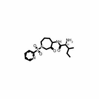 CCC(C)[C@H](N)C(=O)NC1CCCN(S(=O)(=O)c2ccccn2)CC1=O